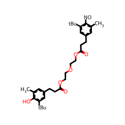 Cc1cc(CCC(=O)OCCOCCOC(=O)CCc2cc(C)c(N=O)c(C(C)(C)C)c2)cc(C(C)(C)C)c1O